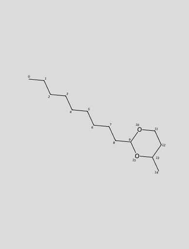 CCCCCCCCCC1OCCC(C)O1